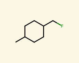 CC1CCC(CF)CC1